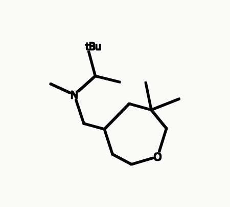 CC(N(C)CC1CCOCC(C)(C)C1)C(C)(C)C